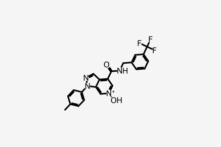 Cc1ccc(-n2ncc3c(C(=O)NCc4cccc(C(F)(F)F)c4)c[n+](O)cc32)cc1